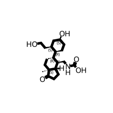 C[C@]12CC[C@H]([C@@H]3CC[C@H](O)C[C@@H]3CCO)[C@@H](CNC(=O)O)[C@@H]1CCC2=O